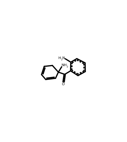 Nc1ccccc1C(=O)C1(N)C=CC=CC1